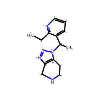 CCc1ncccc1C(C)n1nnc2c1CCNC2